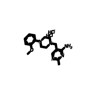 COc1ccccc1N1CCN(Cc2cnc(C)nc2N)CC1.Cl.Cl